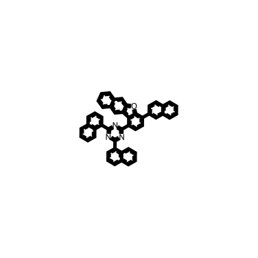 c1ccc2cc(-c3ccc(-c4nc(-c5cccc6ccccc56)nc(-c5cccc6ccccc56)n4)c4c3oc3cc5ccccc5cc34)ccc2c1